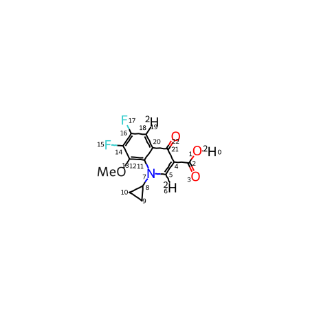 [2H]OC(=O)c1c([2H])n(C2CC2)c2c(OC)c(F)c(F)c([2H])c2c1=O